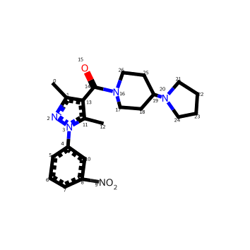 Cc1nn(-c2cccc([N+](=O)[O-])c2)c(C)c1C(=O)N1CCC(N2CCCC2)CC1